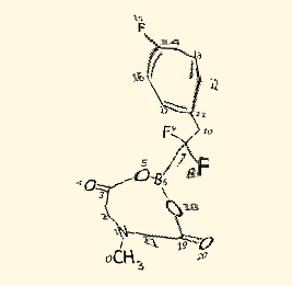 CN1CC(=O)OB(C(F)(F)Cc2ccc(F)cc2)OC(=O)C1